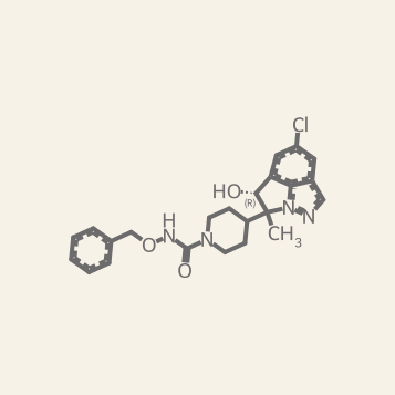 CC1(C2CCN(C(=O)NOCc3ccccc3)CC2)[C@H](O)c2cc(Cl)cc3cnn1c23